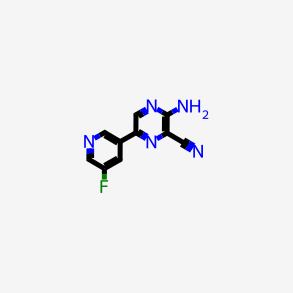 N#Cc1nc(-c2cncc(F)c2)cnc1N